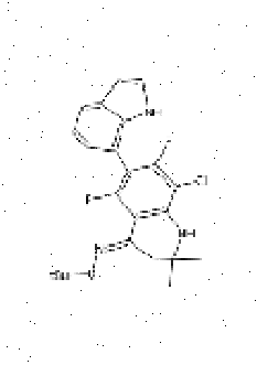 CC1(C)C/C(=N\OC(C)(C)C)c2c(F)c(-c3cccc4cc[nH]c34)c(F)c(Cl)c2N1